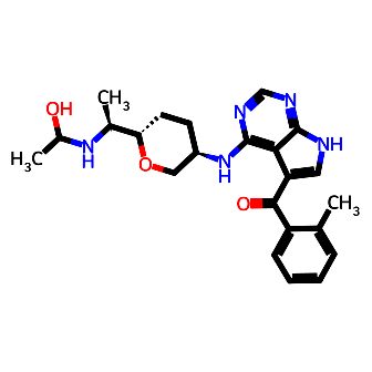 Cc1ccccc1C(=O)c1c[nH]c2ncnc(N[C@@H]3CC[C@@H]([C@H](C)NC(C)O)OC3)c12